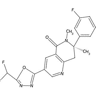 CN1C(=O)c2cc(-c3nnc(C(F)F)o3)cnc2C[C@]1(C)c1cccc(F)c1